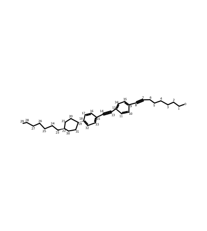 CCCCCCCC#Cc1ccc(C#Cc2ccc([C@H]3CC[C@H](CCCCCCC)CC3)cc2)cc1